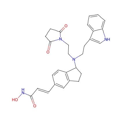 O=C(C=Cc1ccc2c(c1)CCC2N(CCc1c[nH]c2ccccc12)CCN1C(=O)CCC1=O)NO